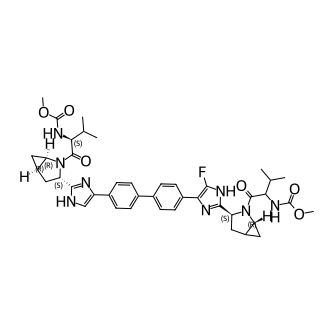 COC(=O)NC(C(=O)N1[C@@H]2CC2C[C@H]1c1nc(-c2ccc(-c3ccc(-c4c[nH]c([C@@H]5C[C@H]6C[C@H]6N5C(=O)[C@@H](NC(=O)OC)C(C)C)n4)cc3)cc2)c(F)[nH]1)C(C)C